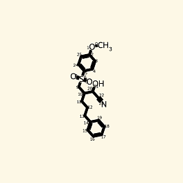 COc1ccc(S(=O)(=O)CC(CCCc2ccccc2)C(O)C#N)cc1